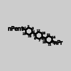 CCCCCC1CCC(C2CCC(C3CCC(CCC)CC3)CC2)CC1